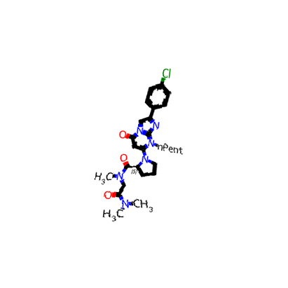 CCCCCn1c(N2CCC[C@H]2C(=O)N(C)CC(=O)N(C)C)cc(=O)n2cc(-c3ccc(Cl)cc3)nc12